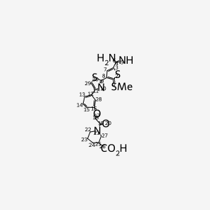 CSc1sc(C(=N)N)cc1-c1nc(-c2cccc(OCC(=O)N3CCCC(C(=O)O)C3)c2)cs1